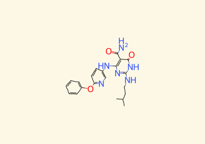 CC(C)CCNc1nc(Nc2ccc(Oc3ccccc3)nc2)c(C(N)=O)c(=O)[nH]1